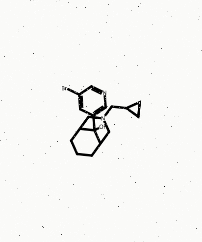 OC1(c2cncc(Br)c2)C2CCCC1CN(CC1CC1)C2